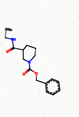 COCNC(=O)C1CCCN(C(=O)OCc2ccccc2)C1